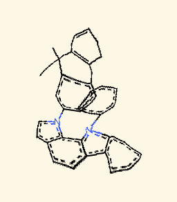 CC1(C)C2=C(CCC=C2)c2ccc(-n3ccc4ccc5c6ccccc6n(-c6ccccc6)c5c43)cc21